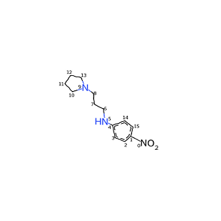 O=[N+]([O-])c1ccc(NCCCN2CCCC2)cc1